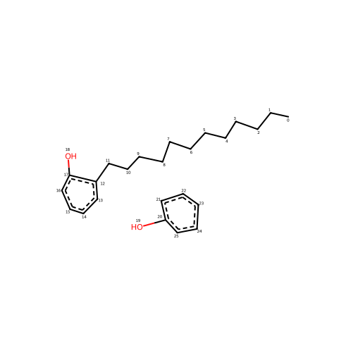 CCCCCCCCCCCCc1ccccc1O.Oc1ccccc1